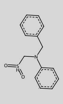 O=[SH](=O)CN(Cc1ccccc1)c1c[c]ccc1